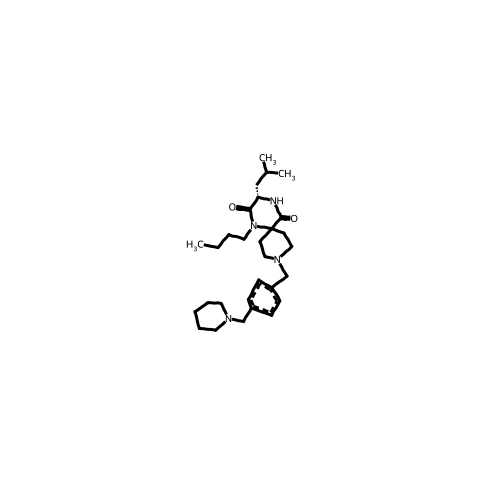 CCCCN1C(=O)[C@H](CC(C)C)NC(=O)C12CCN(Cc1ccc(CN3CCCCC3)cc1)CC2